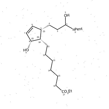 CCCCCC(O)CC[C@H]1C=C[C@@H](O)[C@H]1CCCCCCC(=O)OCC